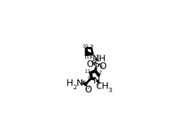 Cn1cc(S(=O)(=O)NC23CC(C2)C3)cc1C(N)=O